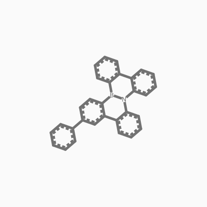 c1ccc(-c2ccc3c(c2)-c2ccccc2N2B3c3ccccc3-c3ccccc32)cc1